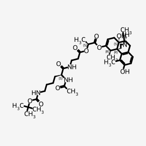 CC(=O)N[C@@H](CCCCNC(=O)OC(C)(C)C)C(=O)NCCC(=O)O[C@@H](C)C(=O)OC1=CC[C@@]2(O)[C@H]3Cc4ccc(O)c(C)c4[C@@]2(CCN3C)[C@H]1C